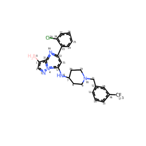 Bc1cnn2c(NC3CCN(Cc4cccc(C(F)(F)F)c4)CC3)cc(-c3ccccc3Cl)nc12